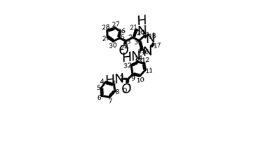 O=C(Nc1ccccc1)c1cccc(Nc2ncnc3[nH]cc(C(=O)c4ccccc4)c23)c1